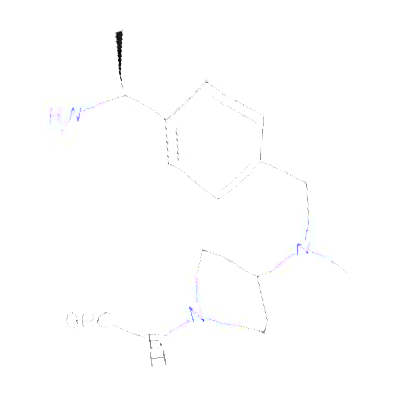 C[C@H](N)c1ccc(CN(C)C2CN(BC=O)C2)cc1